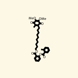 COC1=C(OC)C(=O)C(CCCCCCCCCCOC(=O)c2ccccc2OC(=O)c2ccccc2C)=C(C)C1=O